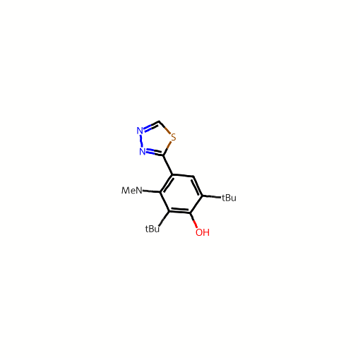 CNc1c(-c2nncs2)cc(C(C)(C)C)c(O)c1C(C)(C)C